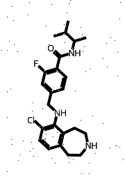 CC(C)C(C)NC(=O)c1ccc(CNc2c(Cl)ccc3c2CCNCC3)cc1F